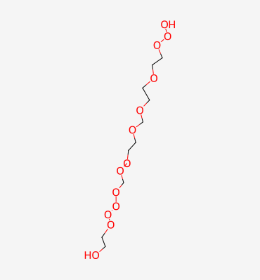 OCCOOOOCOOCCOCOCCOCCOOO